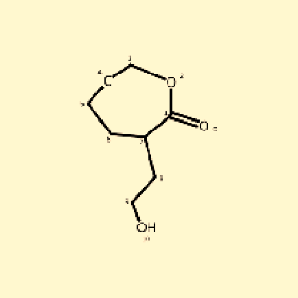 O=C1OCCCCC1CCO